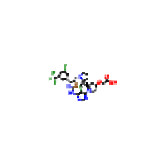 C[C@@H]1CCCN1Cc1sc(Nc2ncnc(N3CCC(OCC(=O)O)CC3)c2F)nc1-c1cc(F)cc(C(F)(F)F)c1